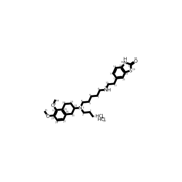 CCCN(CCCCCNCCc1ccc2[nH]c(=O)sc2c1)C1CCc2c(ccc(OC)c2OC)C1.Cl.Cl